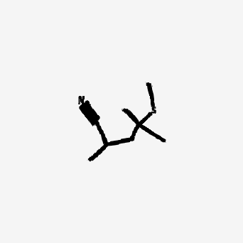 CSC(C)(C)CC(C)C#N